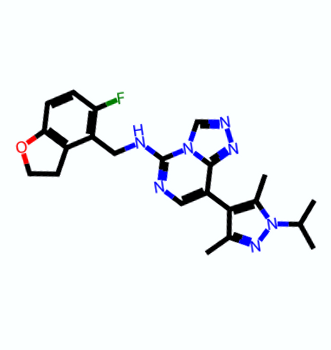 Cc1nn(C(C)C)c(C)c1-c1cnc(NCc2c(F)ccc3c2CCO3)n2cnnc12